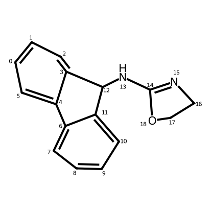 c1ccc2c(c1)-c1ccccc1C2NC1=NCCO1